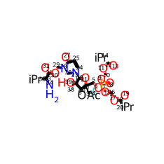 CC(=O)O[C@@H]1[C@@](CF)(COP(=O)(OCOC(=O)C(C)C)OCOC(=O)C(C)C)O[C@@H](N2C=CC(=O)N(COC(=O)C(N)C(C)C)C2)[C@]1(C)O